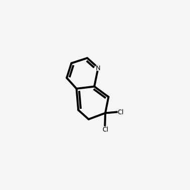 ClC1(Cl)C=c2ncccc2=CC1